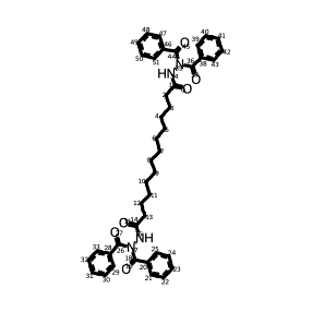 O=C(CCCCCCCCCCCCC(=O)NN(C(=O)c1ccccc1)C(=O)c1ccccc1)NN(C(=O)c1ccccc1)C(=O)c1ccccc1